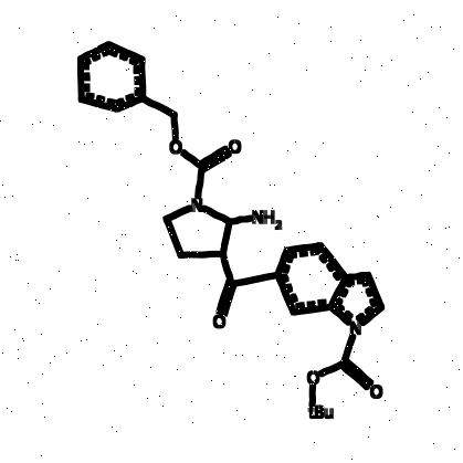 CC(C)(C)OC(=O)n1ccc2ccc(C(=O)C3CCN(C(=O)OCc4ccccc4)C3N)cc21